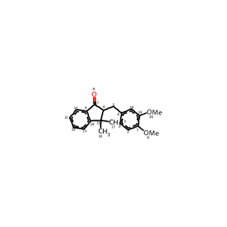 COc1ccc(CC2C(=O)c3ccccc3C2(C)C)cc1OC